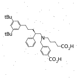 CC(C)(C)c1cc(CCC[C@@H](CN(CCCCC(=O)O)Cc2ccc(C(=O)O)cc2)c2ccccc2)cc(C(C)(C)C)c1